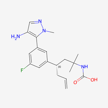 C=CC[C@@H](CC(C)(C)NC(=O)O)c1cc(F)cc(-c2c(N)cnn2C)c1